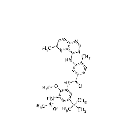 COc1c(NC(=O)c2ccc(C)c(Nc3ncnc4ccc(C)nc34)c2)cc(C(C)(C)C)cc1N[S+](C)[O-]